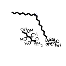 CCCCCCCC/C=C\CCCCCCCCOS(=O)(=O)OS(=O)(=O)O.NC(=O)[C@H](O)[C@@H](O)[C@H](O)[C@H](O)CO